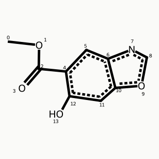 COC(=O)c1cc2ncoc2cc1O